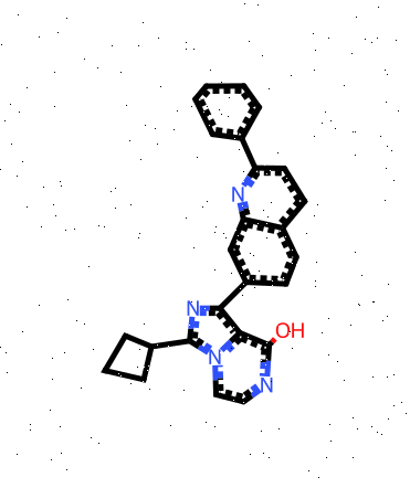 Oc1nccn2c(C3CCC3)nc(-c3ccc4ccc(-c5ccccc5)nc4c3)c12